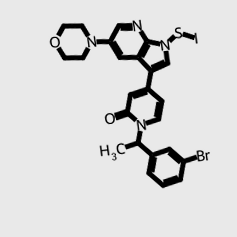 CC(c1cccc(Br)c1)n1ccc(-c2cn(SI)c3ncc(N4CCOCC4)cc23)cc1=O